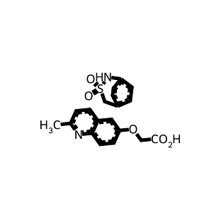 Cc1ccc2cc(OCC(=O)O)ccc2n1.O=S1(=O)Cc2ccc(cc2)N1